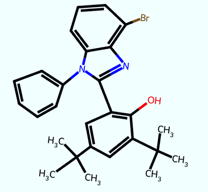 CC(C)(C)c1cc(-c2nc3c(Br)cccc3n2-c2ccccc2)c(O)c(C(C)(C)C)c1